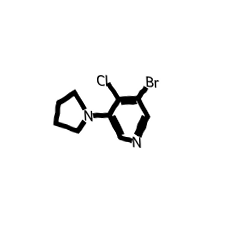 Clc1c(Br)cncc1N1CCCC1